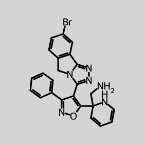 NCC1(c2onc(-c3ccccc3)c2-c2nnc3n2Cc2ccc(Br)cc2-3)C=CC=CN1